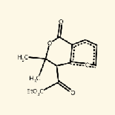 CCOC(=O)C(=O)C1c2ccccc2C(=O)OC1(C)C